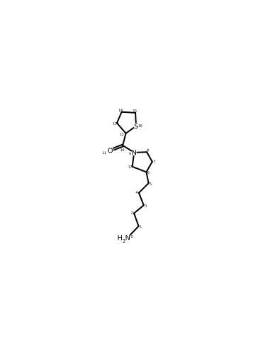 NCCCCCC1CCN(C(=O)C2CCCS2)C1